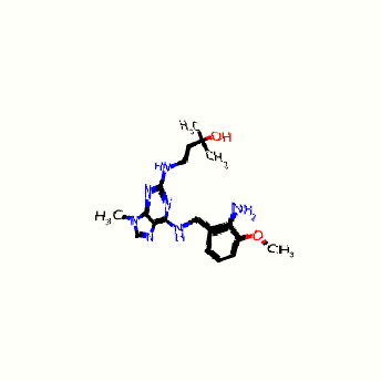 COc1cccc(CNc2nc(NCCC(C)(C)O)nc3c2ncn3C)c1N